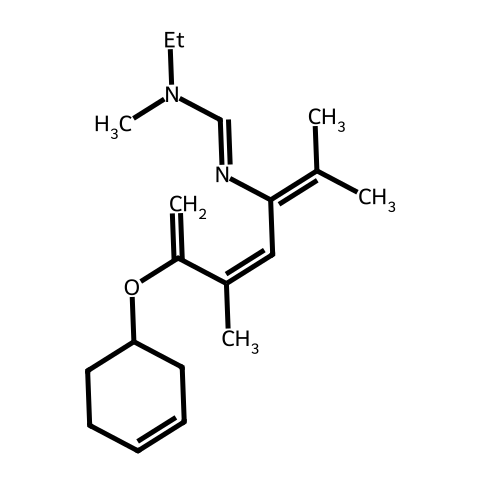 C=C(OC1CC=CCC1)/C(C)=C\C(/N=C/N(C)CC)=C(C)C